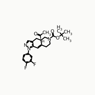 CC(=O)[C@]12Cc3cnn(-c4ccc(F)c(F)c4)c3C=C1CCN(C(=O)OC(C)(C)C)C2